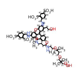 CN(CCCC(=O)NCCOC(C)(C)CCOCC(C)(C)COO)C(=O)c1ccccc1-c1c2cc(CCO)/c(=N/Cc3ccc(S(=O)(=O)O)cc3S(=O)(=O)O)cc-2oc2cc(NCc3ccc(S(=O)(=O)O)cc3S(=O)(=O)O)ccc12